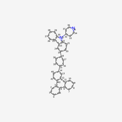 c1ccc2c(c1)c1ccccc1c1cc(-c3ccc(-c4ccc5c(c4)c4ccccc4n5-c4ccncc4)cc3)ccc21